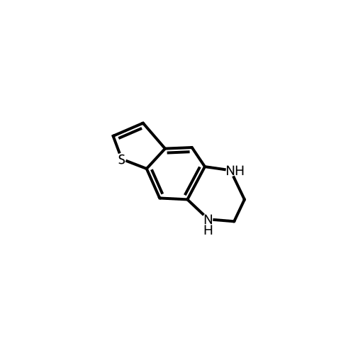 c1cc2cc3c(cc2s1)NCCN3